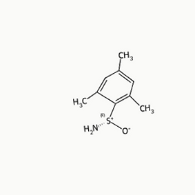 Cc1cc(C)c([S@@+](N)[O-])c(C)c1